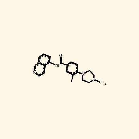 CN1CCN(c2ccc(C(=O)Nc3cccc4cnccc34)cc2F)CC1